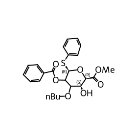 CCCCOC1C(OC(=O)c2ccccc2)[C@@H](Sc2ccccc2)O[C@@H](C(=O)OC)[C@H]1O